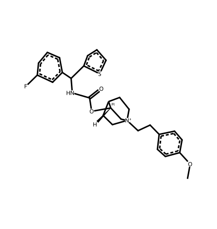 COc1ccc(CC[N+]23CCC(CC2)[C@@H](OC(=O)NC(c2cccc(F)c2)c2cccs2)C3)cc1